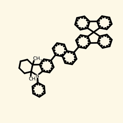 CC12CCCCC1(C)N(c1ccccc1)c1ccc(-c3cccc4c(-c5ccc6c(c5)-c5ccccc5C65c6ccccc6-c6ccccc65)cccc34)cc12